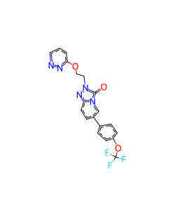 O=c1n(CCOc2cccnn2)nc2ccc(-c3ccc(OC(F)(F)F)cc3)cn12